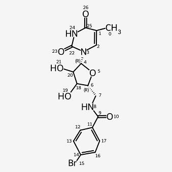 Cc1cn([C@@H]2O[C@H](CNC(=O)c3ccc(Br)cc3)C(O)C2O)c(=O)[nH]c1=O